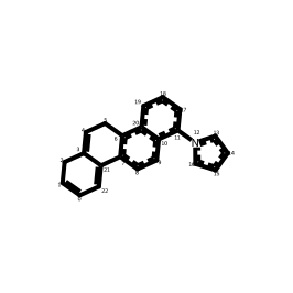 C1=CCC2=CCc3c(ccc4c(-n5cccc5)cccc34)C2=C1